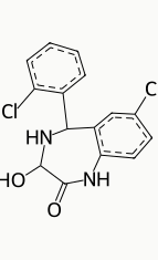 O=C1Nc2ccc(Cl)cc2C(c2ccccc2Cl)NC1O